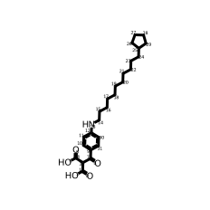 O=C(O)C(C(=O)O)C(=O)c1ccc(NCCCCCCCCCCCC2CCCC2)cc1